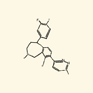 Cc1ccc(-c2ccc3c(c2F)CN(C)CCC3c2ccc(F)c(F)c2)nn1